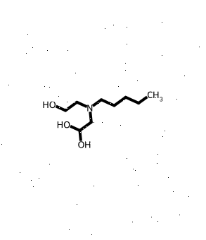 CCCCCN(CCO)CC(O)O